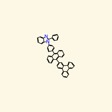 c1ccc(-c2nc3ccccc3n2-c2ccc(-c3c4ccccc4c(-c4ccc5c6ccccc6c6ccccc6c5c4)c4ccccc34)cc2)cc1